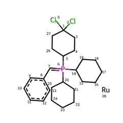 ClC1(Cl)CCC(P(=Cc2ccccc2)(C2CCCCC2)C2CCCCC2)CC1.[Ru]